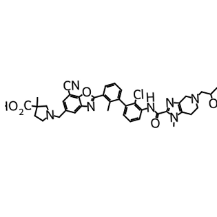 Cc1c(-c2nc3cc(CN4CCC(C)(C(=O)O)C4)cc(C#N)c3o2)cccc1-c1cccc(NC(=O)c2nc3c(n2C)CCN(CC(C)O)C3)c1Cl